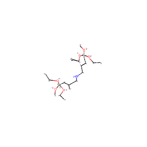 CCO[Si](CCCNCC(C)C[Si](OC)(OCC)OCC)(OC)OCC